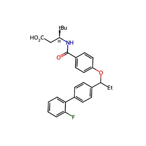 CCC(Oc1ccc(C(=O)N[C@@H](CC(=O)O)C(C)(C)C)cc1)c1ccc(-c2ccccc2F)cc1